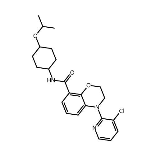 CC(C)OC1CCC(NC(=O)c2cccc3c2OCCN3c2ncccc2Cl)CC1